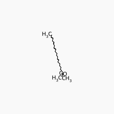 CCC=CCC=CCC=CCCCCC=CCCCCCCOC(=O)C(C)C